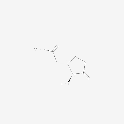 CCCC[C@@H]1C(=O)CC[C@H]1CC(=O)OC